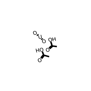 CC(=O)O.CC(=O)O.[O]=[U]=[O]